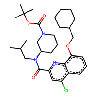 CC(C)CN(C(=O)c1cc(Cl)c2cccc(OCC3CCCCC3)c2n1)[C@@H]1CCCN(C(=O)OC(C)(C)C)C1